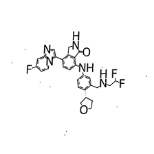 O=C1NCc2c(-c3cnc4cc(F)ccn34)ccc(Nc3ccc([C@@H]4CCOC4)c(CNCC(F)F)c3)c21